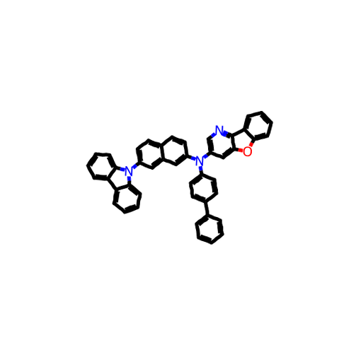 c1ccc(-c2ccc(N(c3ccc4ccc(-n5c6ccccc6c6ccccc65)cc4c3)c3cnc4c(c3)oc3ccccc34)cc2)cc1